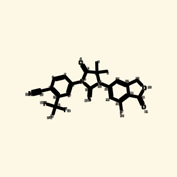 CC1(C)C(=O)N(c2ccc(C#N)c(C(F)(F)F)c2)C(=S)N1c1cc(F)c2c(c1)COC2=O